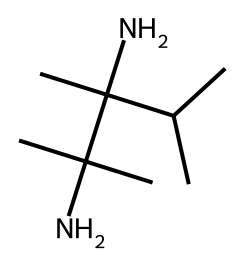 CC(C)C(C)(N)C(C)(C)N